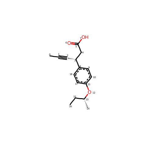 CC#C[C@H](CC(=O)O)c1ccc(O[C@H](C)CC)cc1